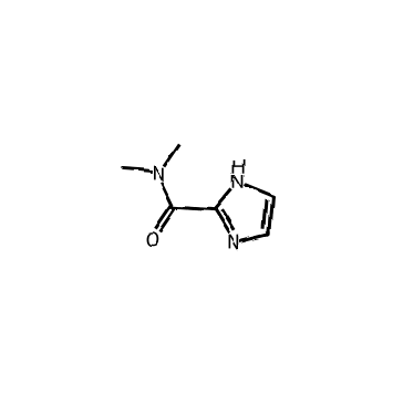 CN(C)C(=O)c1ncc[nH]1